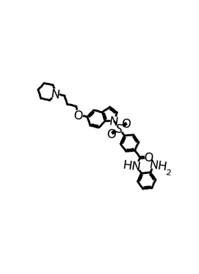 Nc1ccccc1NC(=O)c1ccc(S(=O)(=O)n2ccc3cc(OCCCN4CCCCC4)ccc32)cc1